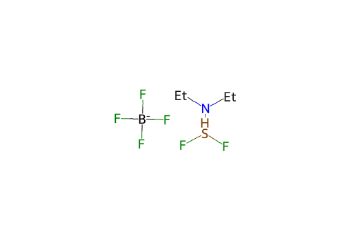 CCN(CC)[SH](F)F.F[B-](F)(F)F